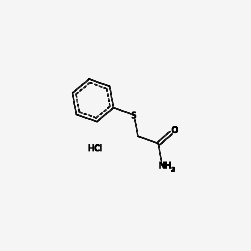 Cl.NC(=O)CSc1ccccc1